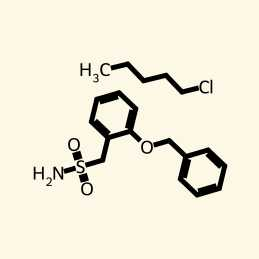 CCCCCCl.NS(=O)(=O)Cc1ccccc1OCc1ccccc1